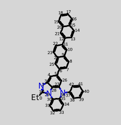 CCc1nc2cc(-c3ccc4cc(-c5ccc6ccccc6c5)ccc4c3)cc3c2n1-c1ccccc1N3c1ccccc1